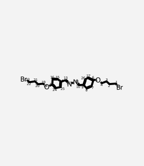 BrCCCCOc1c[c]c(C=N/N=C/c2[c]cc(OCCCCBr)cc2)cc1